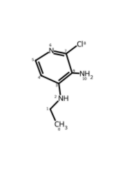 CCNc1ccnc(Cl)c1N